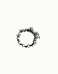 C1CCCCCCNNNNNNNNCCCCCC1